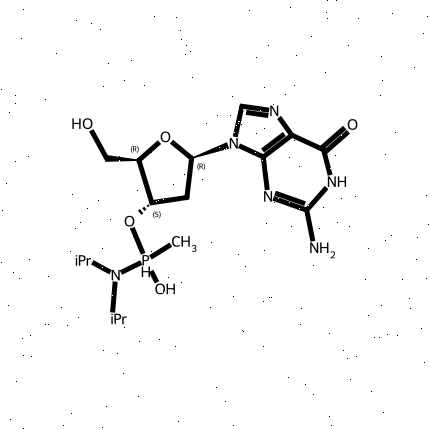 CC(C)N(C(C)C)[PH](C)(O)O[C@H]1C[C@H](n2cnc3c(=O)[nH]c(N)nc32)O[C@@H]1CO